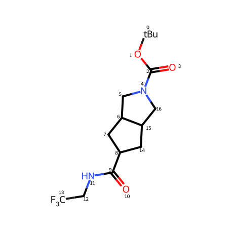 CC(C)(C)OC(=O)N1CC2CC(C(=O)NCC(F)(F)F)CC2C1